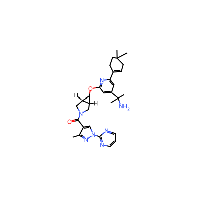 Cc1nn(-c2ncccn2)cc1C(=O)N1C[C@@H]2C(Oc3cc(C(C)(C)N)cc(C4=CCC(C)(C)CC4)n3)[C@@H]2C1